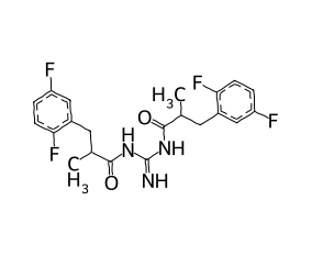 CC(Cc1cc(F)ccc1F)C(=O)NC(=N)NC(=O)C(C)Cc1cc(F)ccc1F